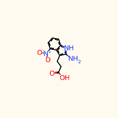 Nc1[nH]c2cccc([N+](=O)[O-])c2c1CCC(=O)O